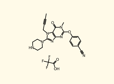 CC#CCn1c(N2CCNCC2)nc2nc(Oc3ccc(C#N)cc3)n(C)c(=O)c21.O=C(O)C(F)(F)F